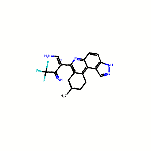 CC1CCc2c(c(/C(=C/N)C(=N)C(F)(F)F)nc3ccc4[nH]ncc4c23)C1